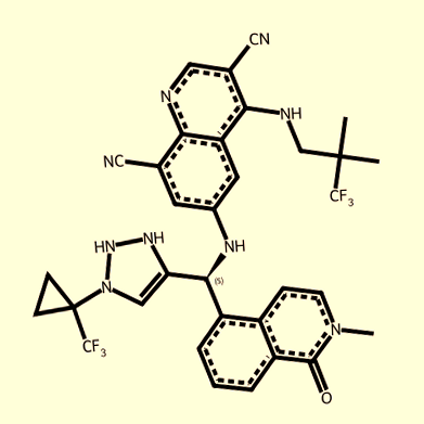 Cn1ccc2c([C@H](Nc3cc(C#N)c4ncc(C#N)c(NCC(C)(C)C(F)(F)F)c4c3)C3=CN(C4(C(F)(F)F)CC4)NN3)cccc2c1=O